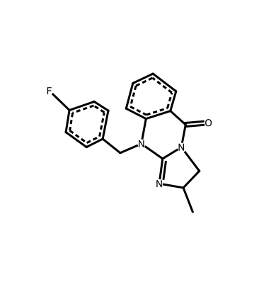 CC1CN2C(=O)c3ccccc3N(Cc3ccc(F)cc3)C2=N1